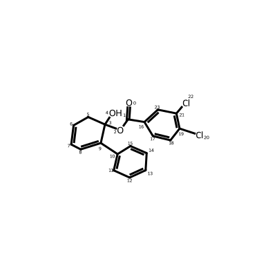 O=C(OC1(O)CC=CC=C1c1ccccc1)c1ccc(Cl)c(Cl)c1